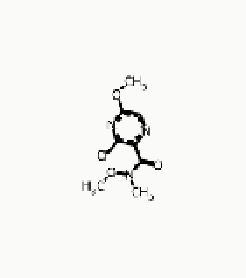 COc1cnc(C(=O)N(C)OC)c(Cl)n1